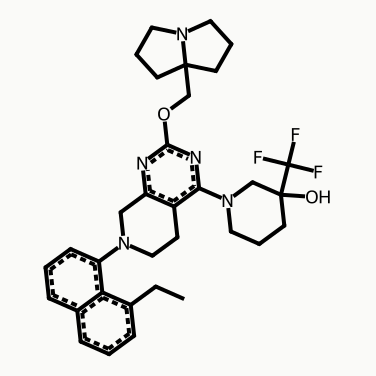 CCc1cccc2cccc(N3CCc4c(nc(OCC56CCCN5CCC6)nc4N4CCCC(O)(C(F)(F)F)C4)C3)c12